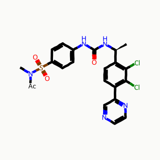 CC(=O)N(C)S(=O)(=O)c1ccc(NC(=O)N[C@@H](C)c2ccc(-c3cnccn3)c(Cl)c2Cl)cc1